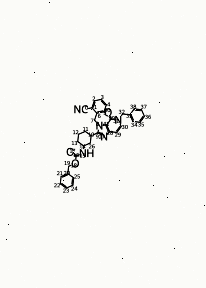 N#Cc1ccccc1Cn1c([C@@H]2CCCC(NC(=O)OCc3ccccc3)C2)nc2ccn(Cc3ccccc3)c(=O)c21